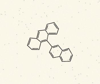 [c]1c2ccccc2c(-c2ccc3ccccc3c2)c2ccccc12